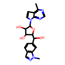 Cc1ncnc2c1ccn2C1OC(C(O)c2ccc3cnn(C)c3c2)C(O)C1O